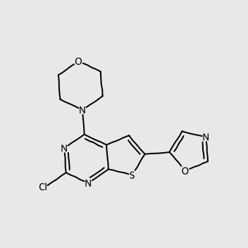 Clc1nc(N2CCOCC2)c2cc(-c3cnco3)sc2n1